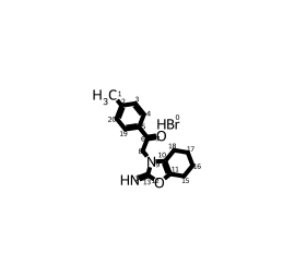 Br.Cc1ccc(C(=O)Cn2c3c(oc2=N)CCCC3)cc1